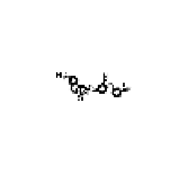 Cc1ccc2c(c1)CCn1c-2cc(OCc2ccc(Oc3cccc(C(F)(F)F)c3)c(C#N)c2)nc1=O